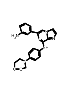 Nc1cccc(-c2cn3ccnc3c(Nc3ccc(N4CCOCC4)cc3)n2)c1